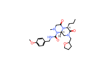 CCC[C@H]1C(=O)N(CC2CCCO2)C[C@H]2N1C(=O)CN(C)N2C(=O)NCc1ccc(OC)cc1